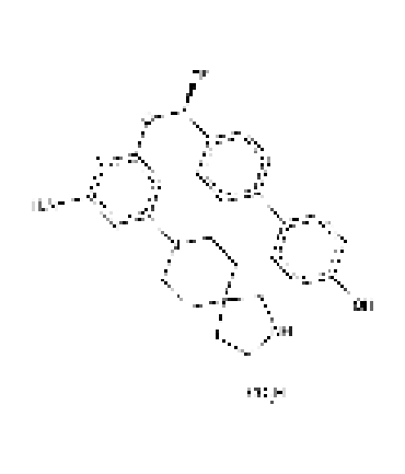 Nc1nc(O[C@H](c2ccc(-c3ccc(O)cc3)cc2)C(F)(F)F)cc(N2CCC3(CC2)CN[C@H](C(=O)O)C3)n1